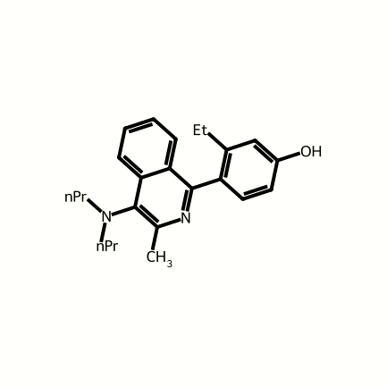 CCCN(CCC)c1c(C)nc(-c2ccc(O)cc2CC)c2ccccc12